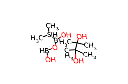 CC(C)(O)C(C)(C)O.C[SiH](C)B(O)OBO